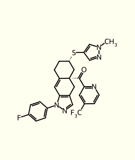 Cn1cc(S[C@H]2CCC3=Cc4c(cnn4-c4ccc(F)cc4)C[C@]3(C(=O)c3cc(C(F)(F)F)ccn3)C2)cn1